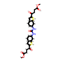 COC(=O)CCC(=O)c1cc2ccc(NC(=O)Nc3ccc4cc(C(=O)CCC(=O)OC)sc4c3)cc2s1